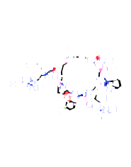 CC(=O)NC(CCCNC(=N)N)C(=O)N[C@H]1CCC(=O)NCCCC[C@@H](C(N)=O)NC(=O)[C@H](Cc2c[nH]c3ccccc23)NC(=O)[C@H](CCCNC(=N)N)NC(=O)[C@@H](Cc2ccc(F)cc2)NC(=O)[C@@H]2CCCN2C1=O